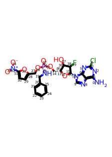 Nc1nc(Cl)nc2c1ncn2[C@@H]1O[C@H](COP(=O)(NCc2ccccc2)OCc2ccc([N+](=O)[O-])o2)C(O)C1F